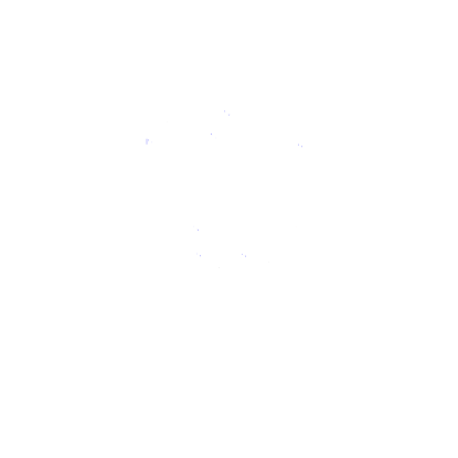 Cc1nn(C2CNC2)c(C)c1-c1cc(OC2CN(C(=O)N3N=CC[C@H]3c3cc(F)cc(F)c3)C2)c(F)cn1